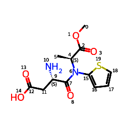 COC(=O)[C@H](C)N(C(=O)[C@@H](N)CC(=O)O)c1cccs1